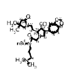 CCCCN(CCCN(C)C)C(=O)CN1C[C@H](c2ccc3c(c2)OCO3)[C@@H](C(=O)O)[C@@H]1CCN1CC(C)(C)CC1=O